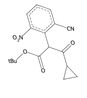 CC(C)(C)OC(=O)C(C(=O)C1CC1)c1c(C#N)cccc1[N+](=O)[O-]